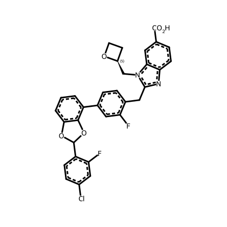 O=C(O)c1ccc2nc(Cc3ccc(-c4cccc5c4OC(c4ccc(Cl)cc4F)O5)cc3F)n(C[C@@H]3CCO3)c2c1